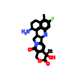 CC[C@@]1(O)C(=O)OCc2c1cc1n(c2=O)CC2C3=c4c(c(C)c(F)cc4=NC12)CC[C@@H]3N